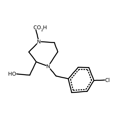 O=C(O)N1CCN(Cc2ccc(Cl)cc2)C(CO)C1